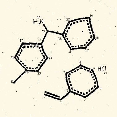 C=Cc1ccccc1.Cc1ccc(C(N)c2ccccc2)cc1.Cl